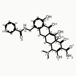 CN(C)C1C(O)=C(C(N)=O)C(=O)C2(O)C(O)=C3C(=O)c4c(O)ccc(CNC(=O)c5cccnc5)c4CC3CC12